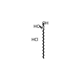 CCCCCCCCCCCCCCCCCCCN(CCO)CCO.Cl